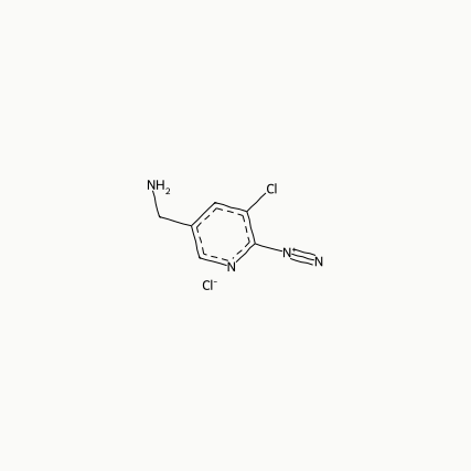 N#[N+]c1ncc(CN)cc1Cl.[Cl-]